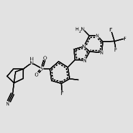 Cc1c(F)cc(S(=O)(=O)NC23CCC(C#N)(C2)C3)cc1-c1cn2c(N)nc(C(F)(F)F)nc2n1